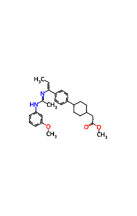 C/C=C(\N=C(/C)Nc1cccc(OC)c1)c1ccc(C2CCC(CC(=O)OC)CC2)cc1